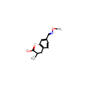 CO/N=C/c1ccc(CC(C)C(=O)O)cc1